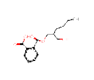 CCCCC(CO)COC(=O)c1ccccc1C(=O)O